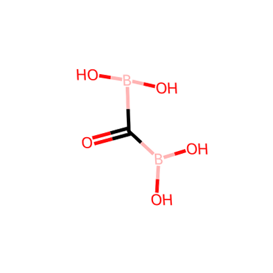 O=C(B(O)O)B(O)O